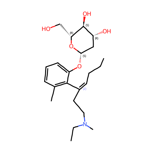 CCC/C=C(/CCN(C)CC)c1c(C)cccc1O[C@H]1C[C@@H](O)[C@H](O)[C@@H](CO)O1